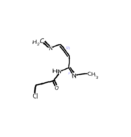 C=N/C=C\C(=N/C)NC(=O)CCl